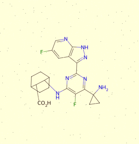 NC1(c2nc(-c3n[nH]c4ncc(F)cc34)nc(NC3C4CCC(CC4)C3C(=O)O)c2F)CC1